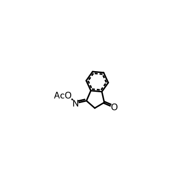 CC(=O)O/N=C1/CC(=O)c2ccccc21